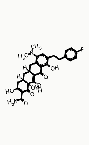 CN(C)c1cc(CCc2ccc(F)cc2)c(O)c2c1C[C@H]1C[C@H]3CC(O)=C(C(N)=O)C(=O)[C@@]3(O)C(O)=C1C2=O